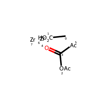 CC(=O)O.CC(=O)OC(=O)C(C)=O.[Zr].[Zr]